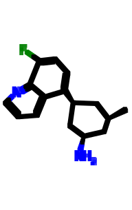 C[C@H]1C[C@@H](N)C[C@@H](c2ccc(F)c3ncccc23)C1